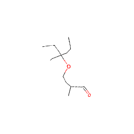 CCC(C)(CC)OCC(C)C=O